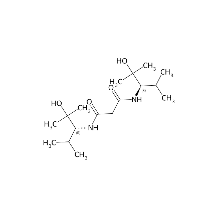 CC(C)[C@@H](NC(=O)CC(=O)N[C@H](C(C)C)C(C)(C)O)C(C)(C)O